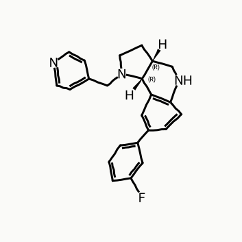 Fc1cccc(-c2ccc3c(c2)[C@H]2[C@H](CCN2Cc2ccncc2)CN3)c1